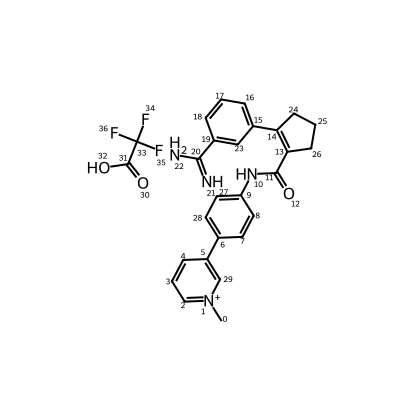 C[n+]1cccc(-c2ccc(NC(=O)C3=C(c4cccc(C(=N)N)c4)CCC3)cc2)c1.O=C(O)C(F)(F)F